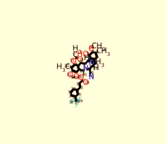 COc1c(C)cc2c(c1O)[C@H]1C3Cc4c(OC(C)=O)c(C)c5c(c4[C@H](COC(=O)/C=C/c4cccc(C(F)(F)F)c4)N3C(C#N)[C@@H](C2)N1C)OCO5